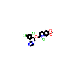 Clc1ccc(C(Cn2ccnc2)OCC2=CC=C3C=C4OCOC4C=C3N2Cl)c(Cl)c1